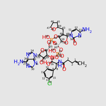 C=CCCC(=O)N[C@@H](Cc1cccc(Cl)c1)C(=O)O[C@H]1[C@@H](O)[C@H](n2cnc3c(N)ncnc32)O[C@@H]1COP(=O)(O)O[C@H]1[C@@H](CC2CCCO2)[C@H](n2ccc(N)nc2=O)O[C@@H]1COP(=O)(O)O